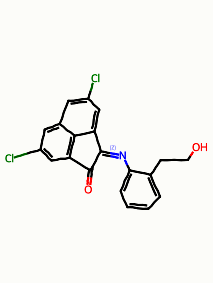 O=C1/C(=N\c2ccccc2CCO)c2cc(Cl)cc3cc(Cl)cc1c23